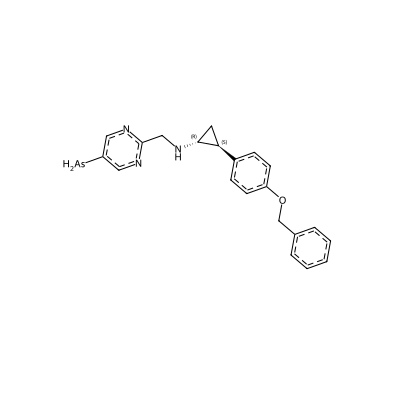 [AsH2]c1cnc(CN[C@@H]2C[C@H]2c2ccc(OCc3ccccc3)cc2)nc1